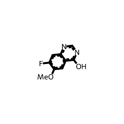 COc1cc2c(O)ncnc2cc1F